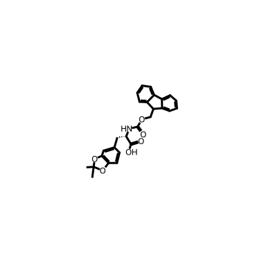 CC1(C)Oc2ccc(C[C@H](NC(=O)OCC3c4ccccc4-c4ccccc43)C(=O)O)cc2O1